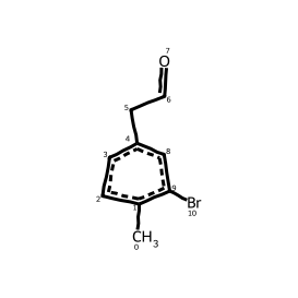 Cc1ccc(CC=O)cc1Br